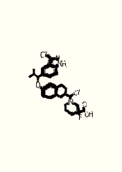 CC(C)C(Oc1ccc2c(c1)CCC(C(Cl)N1CCCC(F)(C(=O)O)C1)=C2)c1ccc2[nH]nc(Cl)c2c1